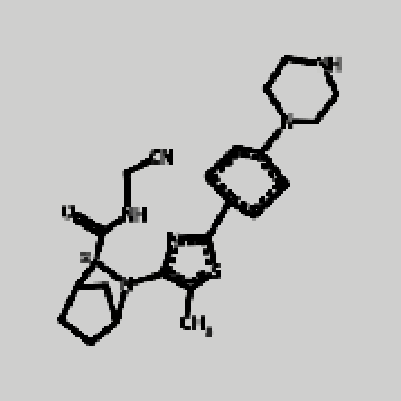 Cc1sc(-c2ccc(N3CCNCC3)cc2)nc1N1C2CCC(C2)[C@H]1C(=O)NCC#N